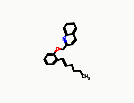 CCCCC=Cc1ccccc1OCc1ccc2ccccc2n1